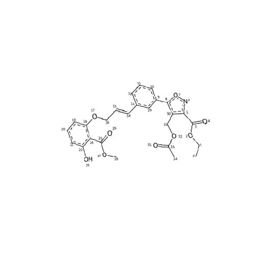 CCOC(=O)c1noc(-c2cccc(C=CCOc3cccc(O)c3C(=O)OC)c2)c1COC(C)=O